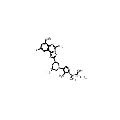 COc1cc(F)cc2c1nc(N)n1nc([C@@H]3C[C@H](C)CN(c4cnn([C@H](C)[C@@H](C)O)c4C)C3)nc21